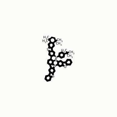 CC(C)(C)c1ccc(N2B3c4cc5c(cc4-n4c6cc7sc8ccccc8c7cc6c6ccc(c3c64)-c3cc4sc6cc7c(cc6c4cc32)C(C)(C)CCC7(C)C)oc2ccccc25)cc1